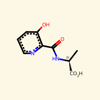 C[C@H](NC(=O)c1ncccc1O)C(=O)O